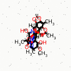 CCC(=O)NC1CS[C@@H]2c3c(OC(C)=O)c(C)c4c(c3[C@H](COC1=O)N1[C@@H]2C2NC(Cc3cc(C)c(OC)c(O)c32)[C@@H]1O)OCO4